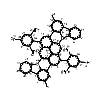 Cc1cc2c3c(c1)-c1cc(-c4c(C(C)C)cc(C(C)C)cc4C(C)C)c4cc5c6c(cc(-c7c(C(C)C)cc(C(C)C)cc7C(C)C)c7cc(c1c4c76)B3c1ccccc1-2)-c1cc(C)cc2c1B5c1ccccc1-2